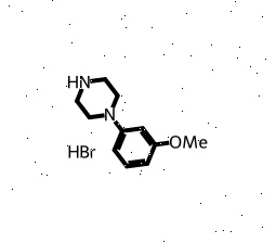 Br.COc1cccc(N2CCNCC2)c1